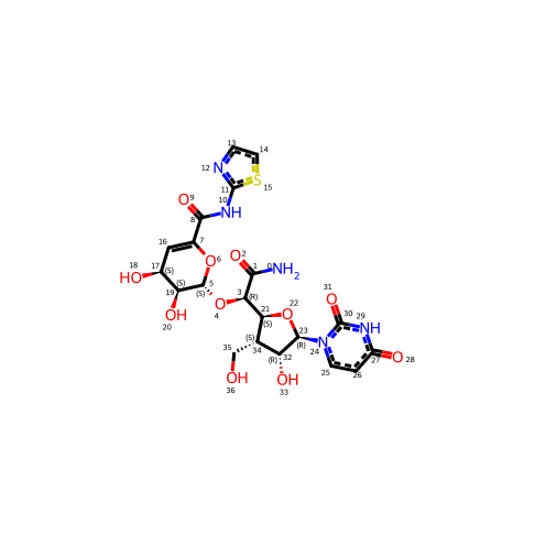 NC(=O)[C@H](O[C@H]1OC(C(=O)Nc2nccs2)=C[C@H](O)[C@@H]1O)[C@H]1O[C@@H](n2ccc(=O)[nH]c2=O)[C@H](O)[C@@H]1CO